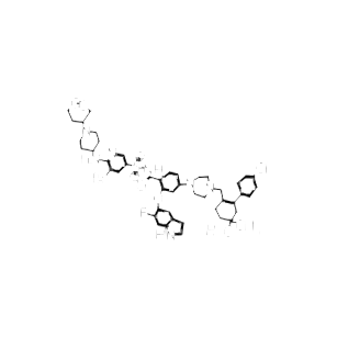 CC1(C)CCC(CN2CCN(c3ccc(C(=O)NS(=O)(=O)c4cnc(NC5CCN(C6CCOCC6)CC5)c(Br)c4)c(Oc4cc5cc[nH]c5cc4F)c3)CC2)=C(c2ccc(Cl)cc2)C1